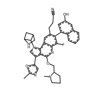 Cc1ncc(-c2cn(C3C4CNC3C4)c3c2c(OCC2CCCN2C)nc2c(F)c(-c4cc(O)cc5ccccc45)c(CCC#N)cc23)o1